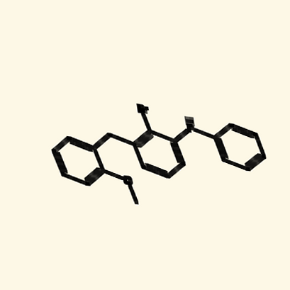 COc1ccccc1Cc1cccc(Pc2ccccc2)c1Br